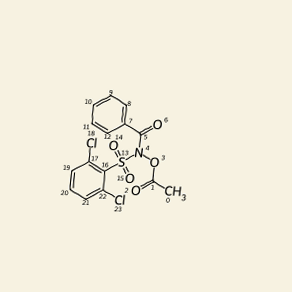 CC(=O)ON(C(=O)c1ccccc1)S(=O)(=O)c1c(Cl)cccc1Cl